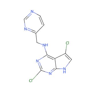 Clc1nc(NCc2ccncn2)c2c(Cl)c[nH]c2n1